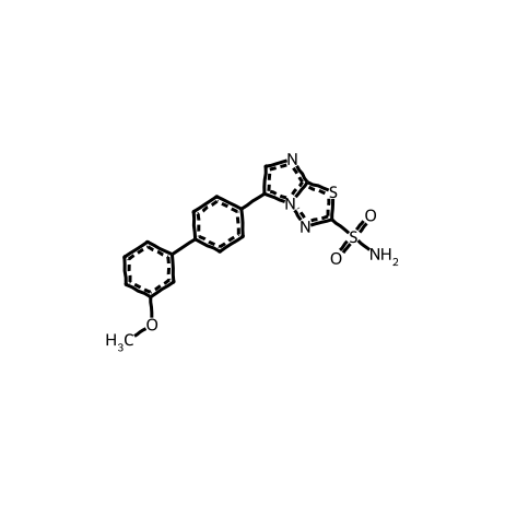 COc1cccc(-c2ccc(-c3cnc4sc(S(N)(=O)=O)nn34)cc2)c1